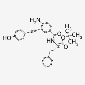 CC(C)(C)OC(=O)[C@H](CCc1ccccc1)NC(=O)c1ccc(N)c(C#Cc2ccc(O)cc2)c1